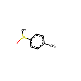 CCC[S+]([O-])c1ccc(C)cc1